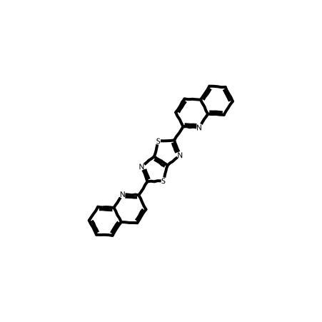 c1ccc2nc(-c3nc4sc(-c5ccc6ccccc6n5)nc4s3)ccc2c1